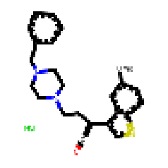 COc1ccc2scc(C(=C=O)CCN3CCN(Cc4ccccc4)CC3)c2c1.Cl